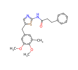 COc1cc(Cc2cnc(NC(=O)CCc3ccccc3)s2)cc(C)c1OC